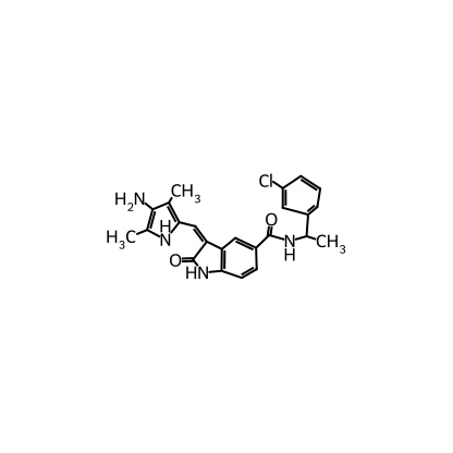 Cc1[nH]c(C=C2C(=O)Nc3ccc(C(=O)NC(C)c4cccc(Cl)c4)cc32)c(C)c1N